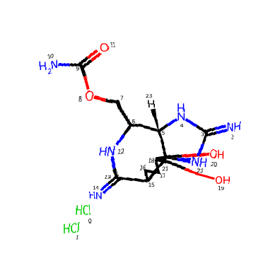 Cl.Cl.N=C1N[C@H]2C(COC(N)=O)NC(=N)C3CCC(O)(O)[C@@]32N1